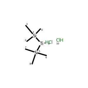 C[Si](C)(C)[Ti][Si](C)(C)C.Cl.Cl